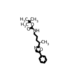 C[C@@H](CCCNC(=O)OC(C)(C)C)c1ncc(-c2ccccc2)o1